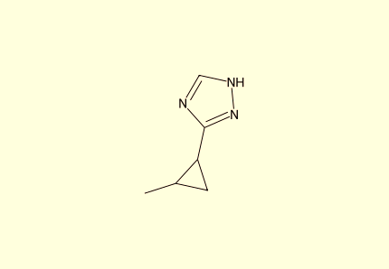 CC1CC1c1nc[nH]n1